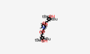 CC1CC(C)(OC(=O)CCc2cc(C(C)(C)C)c(O)c(C(C)(C)C)c2)CC(C)(C)N1CCOC(=O)CCc1cc(C(C)(C)C)c(O)c(C(C)(C)C)c1